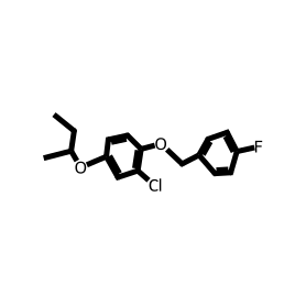 CCC(C)Oc1ccc(OCc2ccc(F)cc2)c(Cl)c1